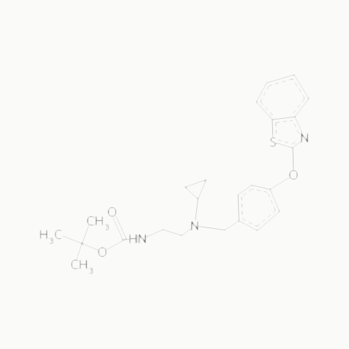 CC(C)(C)OC(=O)NCCN(Cc1ccc(Oc2nc3ccccc3s2)cc1)C1CC1